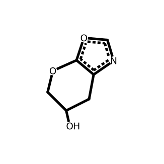 OC1COc2ocnc2C1